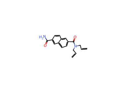 C=CCN(CC=C)C(=O)c1ccc2cc(C(N)=O)ccc2c1